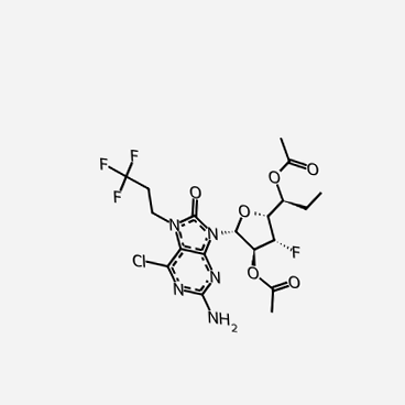 CC[C@H](OC(C)=O)[C@H]1O[C@@H](n2c(=O)n(CCC(F)(F)F)c3c(Cl)nc(N)nc32)[C@H](OC(C)=O)[C@H]1F